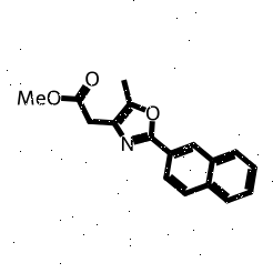 COC(=O)Cc1nc(-c2ccc3ccccc3c2)oc1C